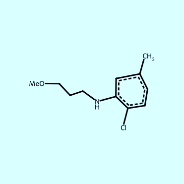 COCCCNc1cc(C)ccc1Cl